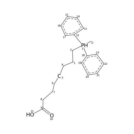 C[PH](CCCCCCCC(=O)O)(c1ccccc1)c1ccccc1